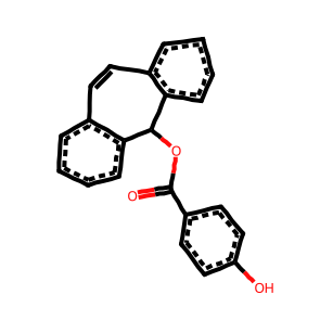 O=C(OC1c2ccccc2C=Cc2ccccc21)c1ccc(O)cc1